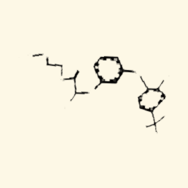 COCCNC(=O)C(C)Oc1cccc(Oc2ccc(C(F)(F)F)cc2Cl)c1